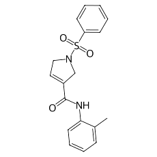 Cc1ccccc1NC(=O)C1=CCN(S(=O)(=O)c2ccccc2)C1